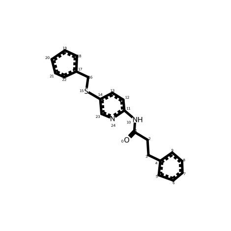 O=C(CCc1ccccc1)Nc1ccc(SCc2ccccc2)cn1